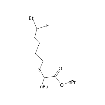 CCCCC(SCCCCC(F)CC)C(=O)OCCC